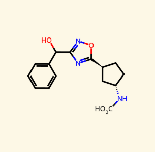 O=C(O)N[C@H]1CC[C@H](c2nc(C(O)c3ccccc3)no2)C1